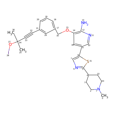 CN1CCC(c2ncc(-c3cnc(N)c(OCc4cccc(C#CC(C)(C)OI)c4)c3)s2)CC1